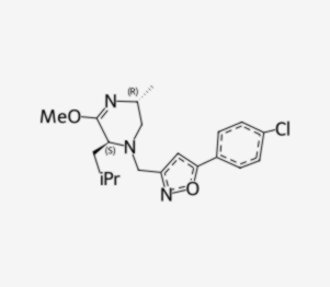 COC1=N[C@H](C)CN(Cc2cc(-c3ccc(Cl)cc3)on2)[C@H]1CC(C)C